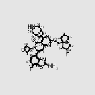 Nc1nc2c(-c3cc4nc(OC[C@@]56CCCN5C[C@H](F)C6)nc(N5C6CCC5CNC6)c4c(=O)n3C3COC3)ccc(F)c2s1